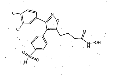 NS(=O)(=O)c1ccc(-c2c(-c3ccc(Cl)c(Cl)c3)noc2CCCC(=O)NO)cc1